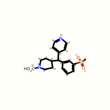 CS(=O)(=O)c1cccc(C(c2ccncc2)C2CCN(C(=O)O)CC2)c1